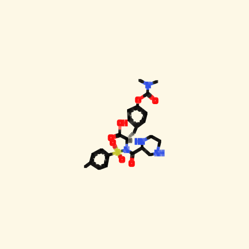 Cc1ccc(S(=O)(=O)N(C(=O)C2CNCCN2)[C@@H](Cc2ccc(OC(=O)N(C)C)cc2)C(=O)O)cc1